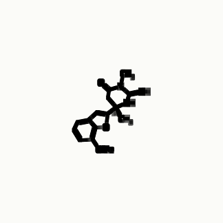 COc1cccc2cc([C@]3(C)CC(=O)N(C)C(=N)N3)oc12